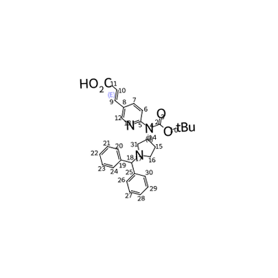 CC(C)(C)OC(=O)N(c1ccc(/C=C/C(=O)O)cn1)[C@@H]1CCN(C(c2ccccc2)c2ccccc2)C1